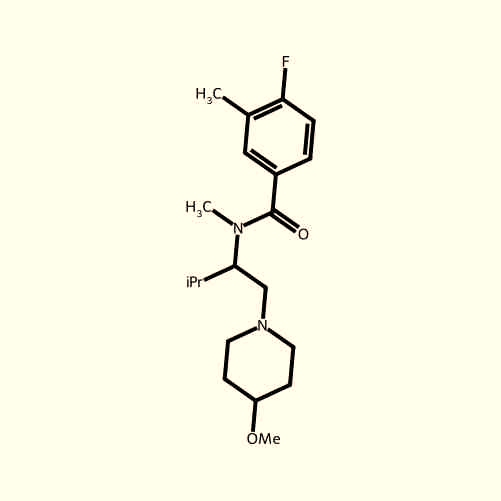 COC1CCN(CC(C(C)C)N(C)C(=O)c2ccc(F)c(C)c2)CC1